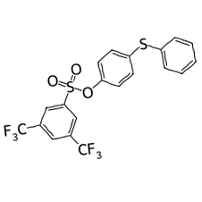 O=S(=O)(Oc1ccc(Sc2ccccc2)cc1)c1cc(C(F)(F)F)cc(C(F)(F)F)c1